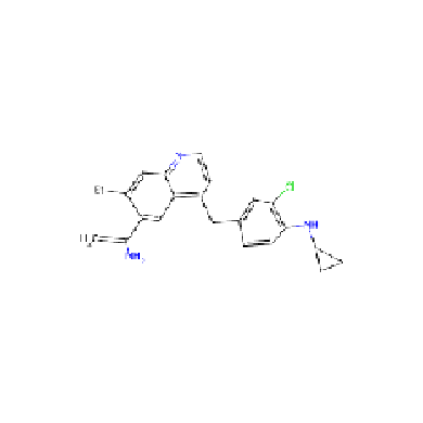 C=C(N)c1cc2c(Cc3ccc(NC4CC4)c(Cl)c3)ccnc2cc1CC